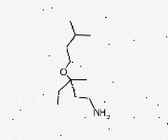 CCC(C)(CCN)OCCC(C)C